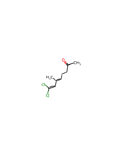 CC(=O)CC/C=C(\C)C=C(Cl)Cl